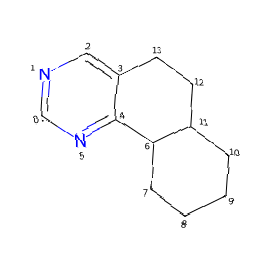 [c]1ncc2c(n1)C1CCCCC1CC2